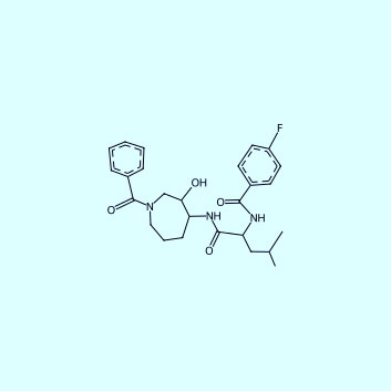 CC(C)CC(NC(=O)c1ccc(F)cc1)C(=O)NC1CCCN(C(=O)c2ccccc2)CC1O